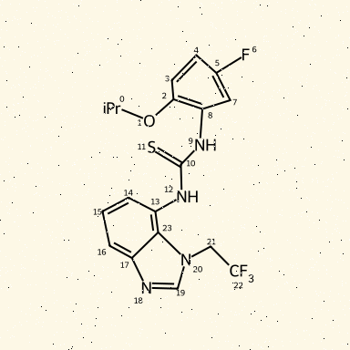 CC(C)Oc1ccc(F)cc1NC(=S)Nc1cccc2ncn(CC(F)(F)F)c12